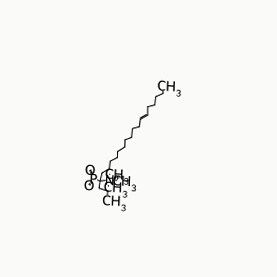 CCCCCC=CCCCCCCCCCCC(CCC)(P(=O)=O)[N+](C)(C)C